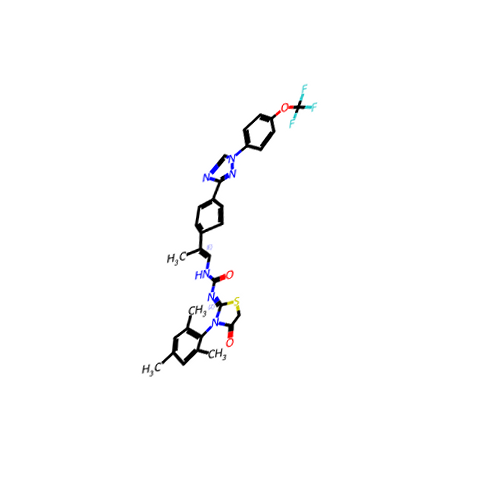 C/C(=C\NC(=O)/N=C1\SCC(=O)N1c1c(C)cc(C)cc1C)c1ccc(-c2ncn(-c3ccc(OC(F)(F)F)cc3)n2)cc1